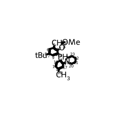 COCOc1c(C)cc(C(C)(C)C)cc1Pc1ccc(C)cc1N1CCCCC1